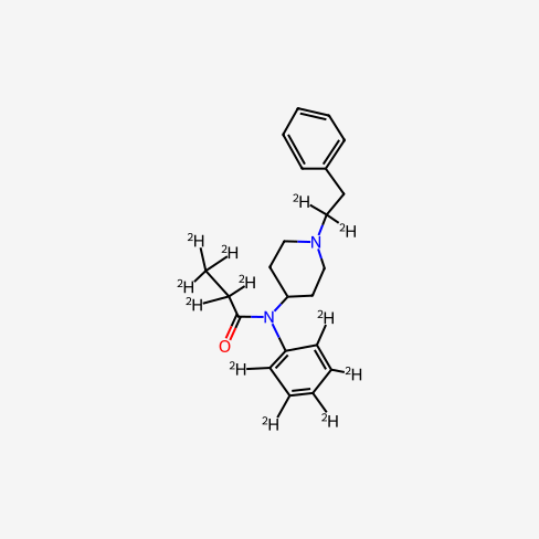 [2H]c1c([2H])c([2H])c(N(C(=O)C([2H])([2H])C([2H])([2H])[2H])C2CCN(C([2H])([2H])Cc3ccccc3)CC2)c([2H])c1[2H]